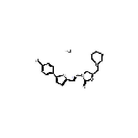 Cl.O=C1OC(CN2CCCCC2)CN1/N=C/c1ccc(-c2ccc(Cl)cc2)o1